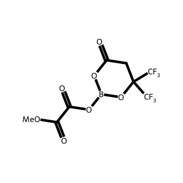 COC(=O)C(=O)OB1OC(=O)CC(C(F)(F)F)(C(F)(F)F)O1